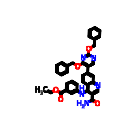 CCOC(=O)c1cccc(Nc2c(C(N)=O)cnc3cc(-c4cnc(OCc5ccccc5)nc4OCc4ccccc4)ccc23)c1